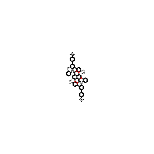 C[Si](C)(C)c1ccc(-c2ccc(N(C3=C4C=CC5=C6C(=CC=C(C=C3)C46)C(N(c3ccccc3F)c3ccc(-c4ccc([Si](C)(C)C)cc4)cc3-c3ccc([Si](C)(C)C)cc3)C=C5)c3ccccc3F)c(-c3ccc([Si](C)(C)C)cc3)c2)cc1